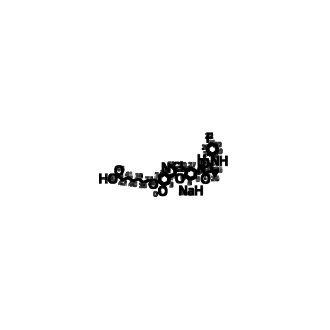 COc1cc2c(Oc3ccc(NC(=O)C4(C(=O)Nc5ccc(F)cc5)CC4)cc3Cl)ccnc2cc1OCCCCCCC(=O)O.[NaH]